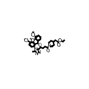 CCOC(=O)CC1CCN(C(=O)CCC2OC(c3cccc(OC)c3OC)c3cc(Cl)ccc3-n3c(C)nnc32)CC1